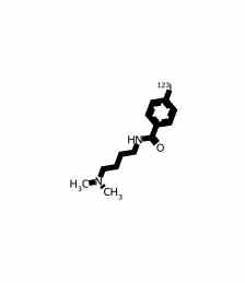 CN(C)CCCCNC(=O)c1ccc([123I])cc1